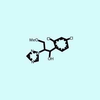 COCC(C(O)c1ccc(Cl)cc1Cl)n1cncn1